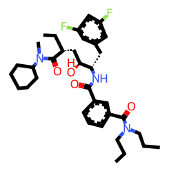 CCCN(CCC)C(=O)c1cccc(C(=O)N[C@@H](Cc2cc(F)cc(F)c2)[C@@H](O)C[C@@H](CC)C(=O)N(C)C2CCCCC2)c1